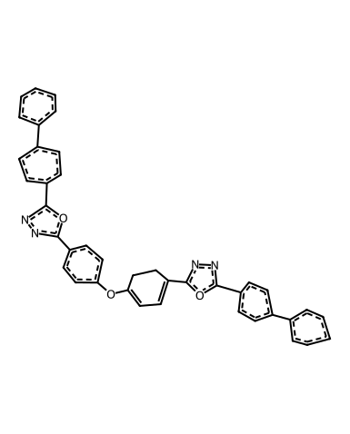 C1=C(Oc2ccc(-c3nnc(-c4ccc(-c5ccccc5)cc4)o3)cc2)CCC(c2nnc(-c3ccc(-c4ccccc4)cc3)o2)=C1